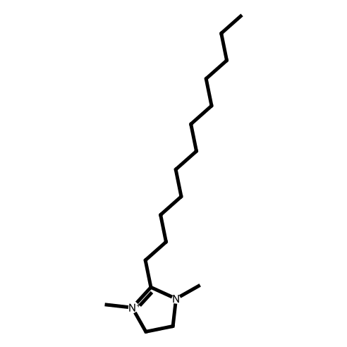 CCCCCCCCCCCCC1=[N+](C)CCN1C